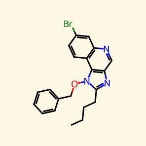 CCCCc1nc2cnc3cc(Br)ccc3c2n1OCc1ccccc1